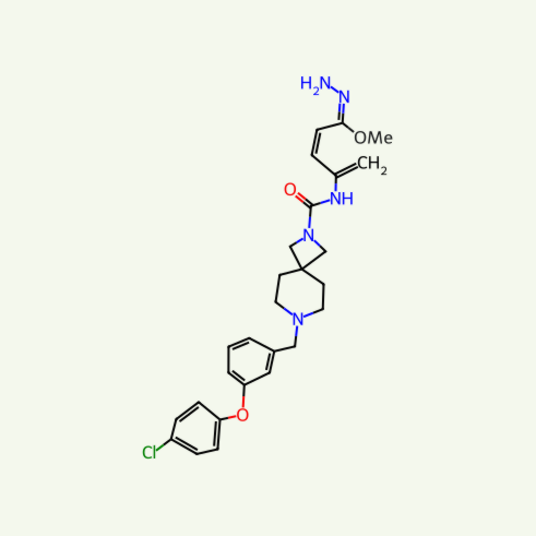 C=C(/C=C\C(=N/N)OC)NC(=O)N1CC2(CCN(Cc3cccc(Oc4ccc(Cl)cc4)c3)CC2)C1